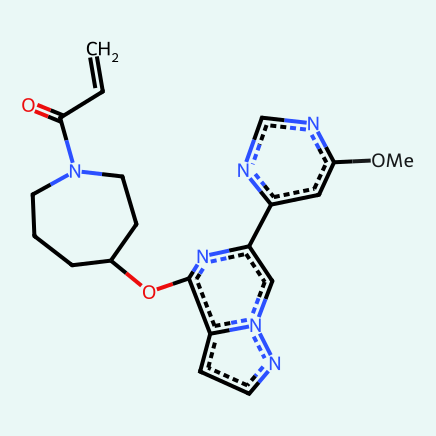 C=CC(=O)N1CCCC(Oc2nc(-c3cc(OC)ncn3)cn3nccc23)CC1